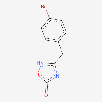 O=c1nc(Cc2ccc(Br)cc2)[nH]o1